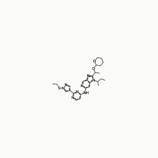 CCSn1cc(-c2nccc(Nc3cc4c(cn3)nc(C(C)OC3CCCCO3)n4C(C)CC)n2)cn1